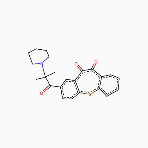 CC(C)(C(=O)c1ccc2sc3ccccc3c(=O)c(=O)c2c1)N1CCCCC1